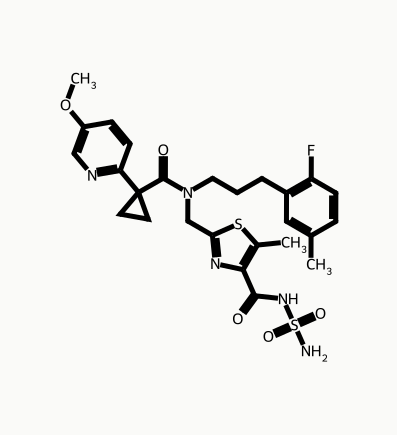 COc1ccc(C2(C(=O)N(CCCc3cc(C)ccc3F)Cc3nc(C(=O)NS(N)(=O)=O)c(C)s3)CC2)nc1